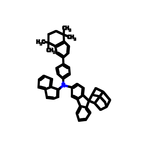 CC1(C)CCC(C)(C)c2cc(-c3ccc(N(c4ccc5c(c4)-c4ccccc4C54C5CC6CC7CC4C75C6)c4cccc5ccccc45)cc3)ccc21